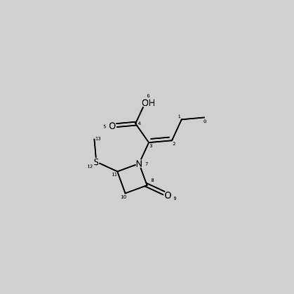 CCC=C(C(=O)O)N1C(=O)CC1SC